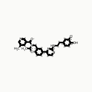 Cc1cncc(C(=O)N(Cc2cccc(-c3ccnc(NCCc4ccc(O)c(Cl)c4)n3)c2)C(C)C)c1